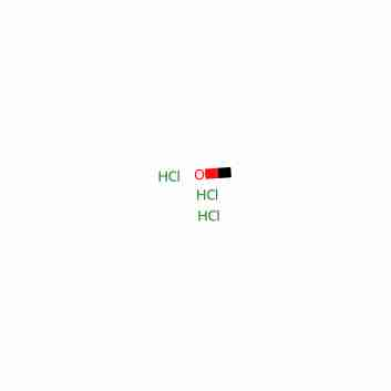 C=O.Cl.Cl.Cl